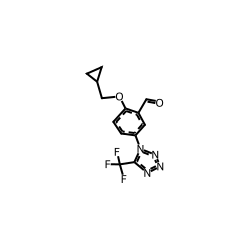 O=Cc1cc(-n2nnnc2C(F)(F)F)ccc1OCC1CC1